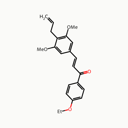 C=CCc1c(OC)cc(C=CC(=O)c2ccc(OCC)cc2)cc1OC